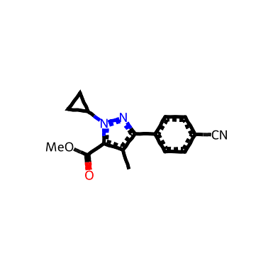 COC(=O)c1c(C)c(-c2ccc(C#N)cc2)nn1C1CC1